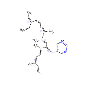 C=CC(/C=C\C=C(C)\C(C)=C\C(=C/c1cncnc1)C(\C)=C\C=C(/C=C/F)C(C)=O)=C/C